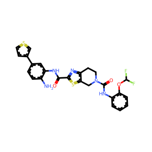 Nc1ccc(-c2ccsc2)cc1NC(=O)c1nc2c(s1)CN(C(=O)Nc1ccccc1OC(F)F)CC2